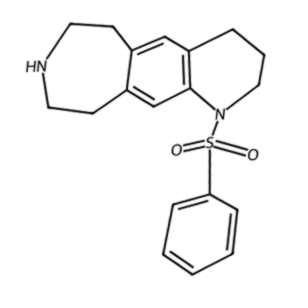 O=S(=O)(c1ccccc1)N1CCCc2cc3c(cc21)CCNCC3